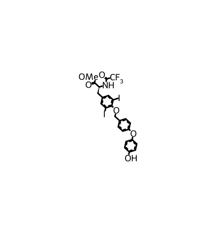 COC(=O)[C@H](Cc1cc(I)c(OCc2ccc(Oc3ccc(O)cc3)cc2)c(I)c1)NC(=O)C(F)(F)F